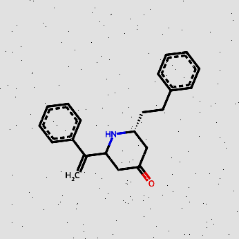 C=C(c1ccccc1)C1CC(=O)C[C@@H](CCc2ccccc2)N1